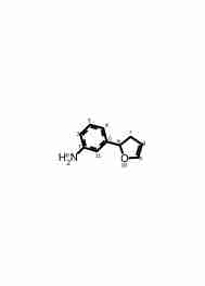 Nc1cccc([C]2CC=CO2)c1